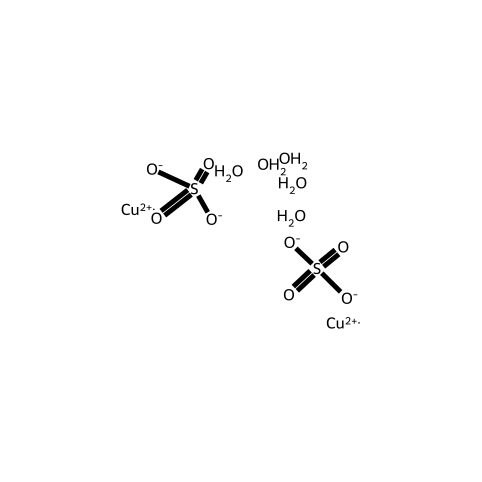 O.O.O.O.O.O=S(=O)([O-])[O-].O=S(=O)([O-])[O-].[Cu+2].[Cu+2]